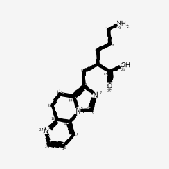 NCCCC(Cc1ncn2c1CCc1ncccc1-2)C(=O)O